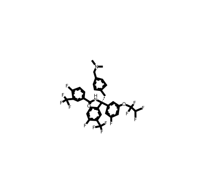 CN(C)Cc1ccc(C[C@](NC(=O)c2ccc(F)c(C(F)(F)F)c2)(c2cc(F)cc(OC(F)(F)C(F)F)c2)c2ccc(F)c(C(F)(F)F)c2)cc1